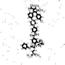 Cc1c(C(=O)O)c(-c2cccc(N3CCN(c4ccc(N[S+]([O-])c5ccc(N[C@H](CCN(C)C)CSc6ccccc6)c(S(=O)(=O)C(F)(F)F)c5)cc4)CC3)c2)c(-c2ccc(Cl)cc2)n1C